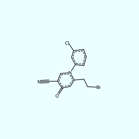 N#Cc1cn(-c2cccc(Cl)c2)c(CCBr)cc1=O